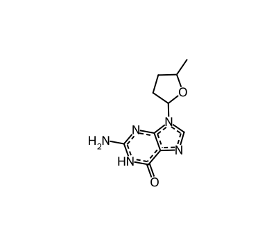 CC1CCC(n2cnc3c(=O)[nH]c(N)nc32)O1